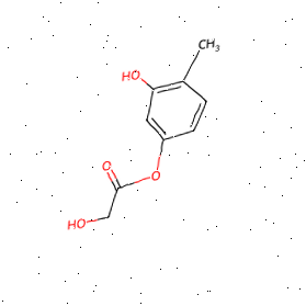 Cc1ccc(OC(=O)CO)cc1O